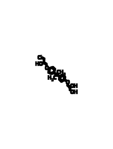 CC(C)(c1ccc(OC[C@H](O)CCl)cc1)c1ccc(OC[C@@H](O)CO)cc1